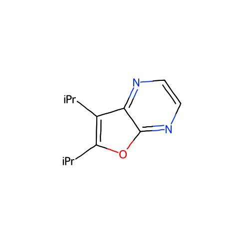 CC(C)c1oc2nccnc2c1C(C)C